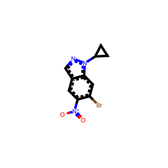 O=[N+]([O-])c1cc2cnn(C3CC3)c2cc1Br